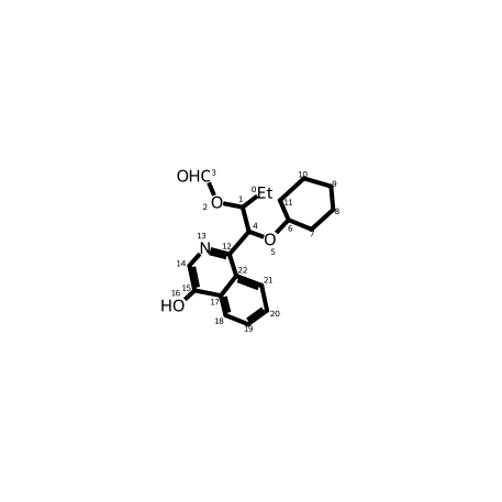 CCC(OC=O)C(OC1CCCCC1)c1ncc(O)c2ccccc12